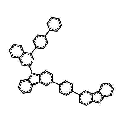 c1ccc(-c2ccc(-c3nc(-n4c5ccccc5c5cc(-c6ccc(-c7ccc8sc9ccccc9c8c7)cc6)ccc54)nc4ccccc34)cc2)cc1